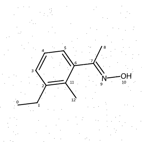 CCc1cccc(C(C)=NO)c1C